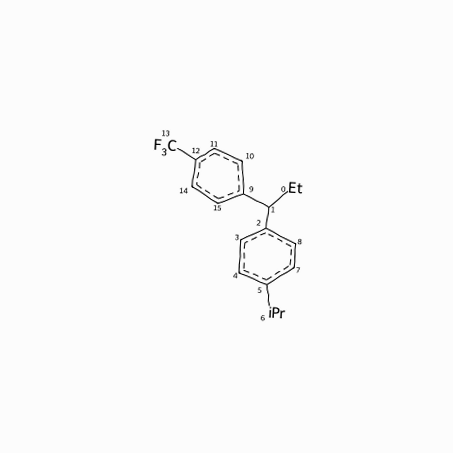 [CH2]CC(c1ccc(C(C)C)cc1)c1ccc(C(F)(F)F)cc1